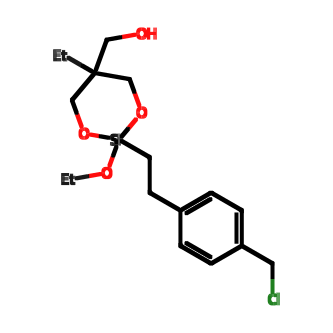 CCO[Si]1(CCc2ccc(CCl)cc2)OCC(CC)(CO)CO1